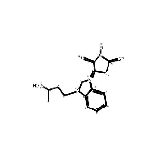 CCN1C(=O)C(=S2CN(CCC(C)S(=O)(=O)O)c3ccccc32)SC1=S